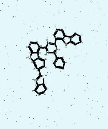 c1ccc(-c2nc(-c3cccc4c3sc3ccccc34)nc(-c3cccc4oc5cc(-c6nc7ccccc7s6)ccc5c34)n2)cc1